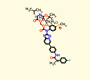 COc1cc(S(C)(=O)=O)ccc1N(C(=O)OCOC(=O)[C@H](CC(C)C)NC(=O)OC(C)(C)C)c1nc2ccc(-c3ccc(NC(=O)[C@H](C)c4ccc(F)cc4)cc3)cn2n1